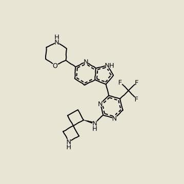 FC(F)(F)c1cnc(N[C@@H]2CCC23CNC3)nc1-c1c[nH]c2nc(C3CNCCO3)ccc12